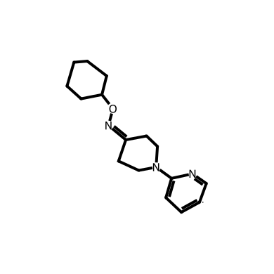 [c]1ccc(N2CCC(=NOC3CCCCC3)CC2)nc1